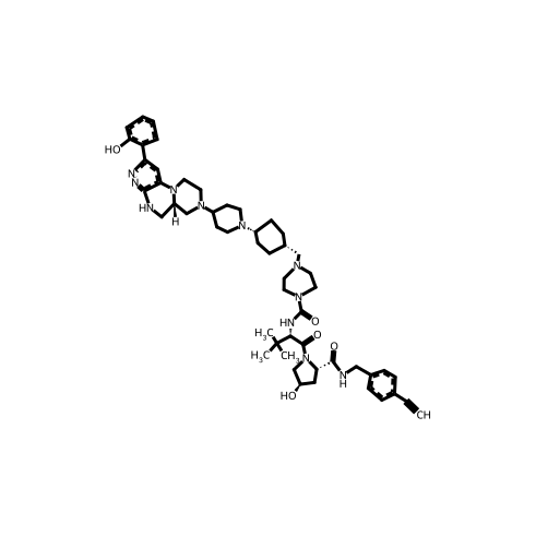 C#Cc1ccc(CNC(=O)[C@@H]2C[C@@H](O)CN2C(=O)[C@@H](NC(=O)N2CCN(C[C@H]3CC[C@@H](N4CCC(N5CCN6c7cc(-c8ccccc8O)nnc7NC[C@H]6C5)CC4)CC3)CC2)C(C)(C)C)cc1